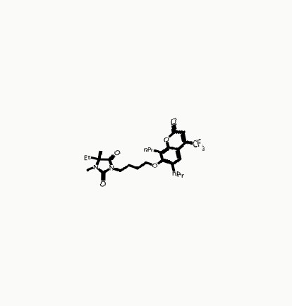 CCCc1cc2c(C(F)(F)F)cc(=O)oc2c(CCC)c1OCCCCN1C(=O)N(C)C(C)(CC)C1=O